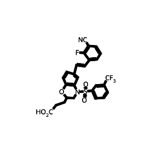 N#Cc1cccc(C=Cc2ccc3c(c2)N(S(=O)(=O)c2cccc(C(F)(F)F)c2)CC(CCC(=O)O)O3)c1F